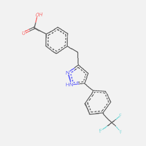 O=C(O)c1ccc(Cc2cc(-c3ccc(C(F)(F)F)cc3)[nH]n2)cc1